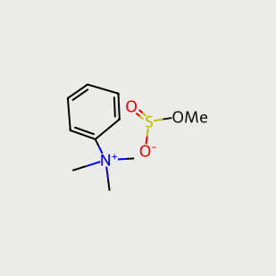 COS(=O)[O-].C[N+](C)(C)c1ccccc1